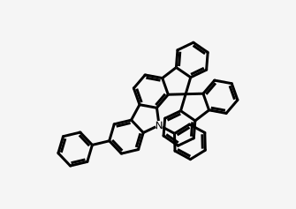 c1ccc(-c2ccc3c(c2)c2ccc4c(c2n3-c2ccccc2)C2(c3ccccc3-c3ccccc32)c2ccccc2-4)cc1